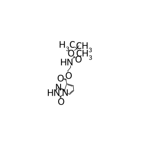 CC(C)(C)OC(=O)NCCOC(=O)c1cccn2c(=O)[nH]nc12